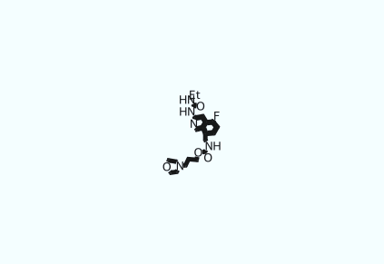 CCNC(=O)Nc1cc2c(F)ccc(CNC(=O)OCCCN3CCOCC3)c2cn1